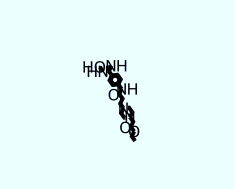 CCOC(=O)CN1CCN(CCC(=O)Nc2ccc(C(=N)NO)cc2)CC1